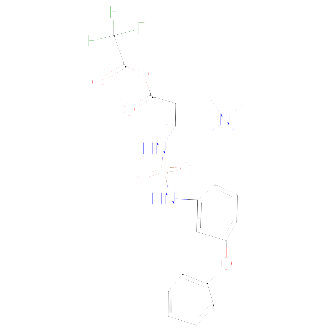 C[N+](C)(C)C[C@@H](CC(=O)OC(=O)C(F)(F)F)NS(=O)(=O)Nc1cccc(Oc2ccccc2)c1